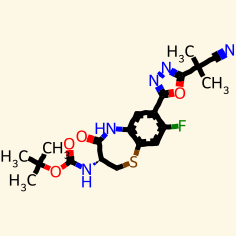 CC(C)(C)OC(=O)N[C@H]1CSc2cc(F)c(-c3nnc(C(C)(C)C#N)o3)cc2NC1=O